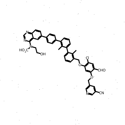 Cc1c(COc2cc(OCc3cncc(C#N)c3)c(C=O)cc2Cl)cccc1-c1cccc(-c2ccc(-c3ccc4ncnc(N(CCO)C(=O)O)c4c3)cc2)c1C